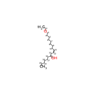 [CH2]COCCCCCCCC/C=C\C[C@H](O)CCCCCC